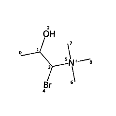 CC(O)C(Br)[N+](C)(C)C